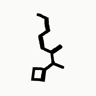 C=C(/C=C\C=C/C)N(C)C1=CCC1